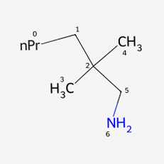 CCCCC(C)(C)CN